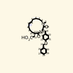 CN1CCCC/C=C/CCC[C@H](CC(=O)O)C(=O)N[C@@H](Cc2ccc(OCc3ccccc3)cc2)C1=O